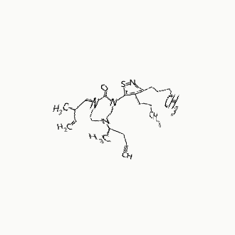 C#CCC(C)N1CN(CC(C)C=C)C(=O)N(c2snc(CCCC)c2CCC)C1